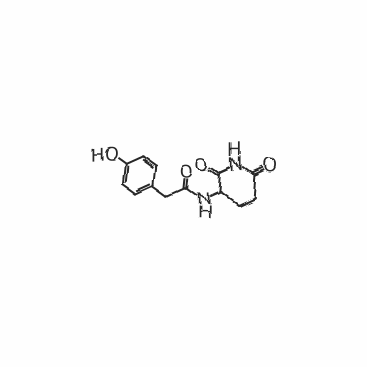 O=C1CCC(NC(=O)Cc2ccc(O)cc2)C(=O)N1